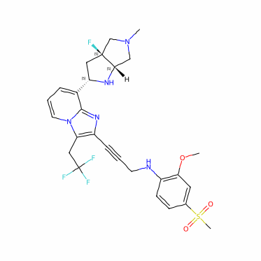 COc1cc(S(C)(=O)=O)ccc1NCC#Cc1nc2c([C@@H]3C[C@]4(F)CN(C)C[C@@H]4N3)cccn2c1CC(F)(F)F